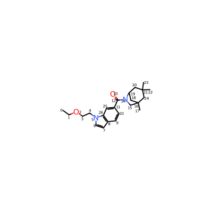 CCOCCn1ccc2ccc(C(=O)N3CC4(C)CC3CC(C)(C)C4)cc21